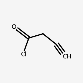 C#CCC(=O)Cl